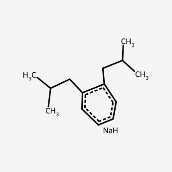 CC(C)Cc1ccccc1CC(C)C.[NaH]